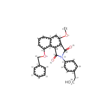 CCOc1cc2cccc(OCc3ccccc3)c2c2c1C(=O)N(c1ccc(CC(=O)O)cc1)C2=O